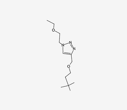 CCOCCn1cc(COCCC(C)(C)C)nn1